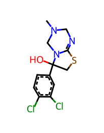 CN1CN=C2SCC(O)(c3ccc(Cl)c(Cl)c3)N2C1